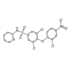 O=[N+]([O-])c1ccc(Oc2c(Cl)cc(S(=O)(=O)Nc3ccccn3)cc2Cl)c(Cl)c1